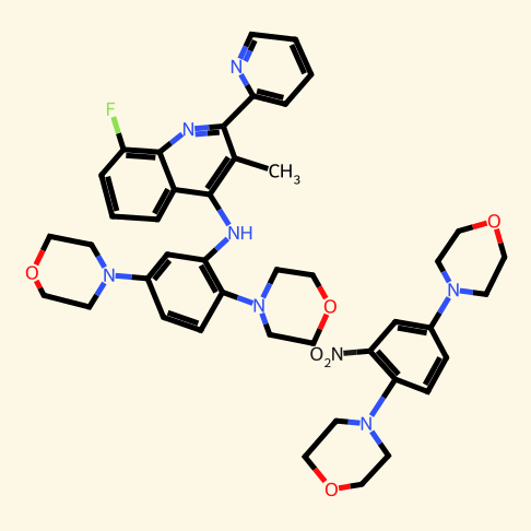 Cc1c(-c2ccccn2)nc2c(F)cccc2c1Nc1cc(N2CCOCC2)ccc1N1CCOCC1.O=[N+]([O-])c1cc(N2CCOCC2)ccc1N1CCOCC1